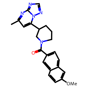 COc1ccc2cc(C(=O)N3CCCC(c4cc(C)nc5ncnn45)C3)ccc2c1